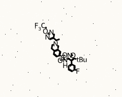 CC(c1cnc(OCC(F)(F)F)nc1)N1CCc2ccc(S(=O)(=O)Nc3noc(C(C)(C)C)c3-c3cccc(F)c3)cc2C1